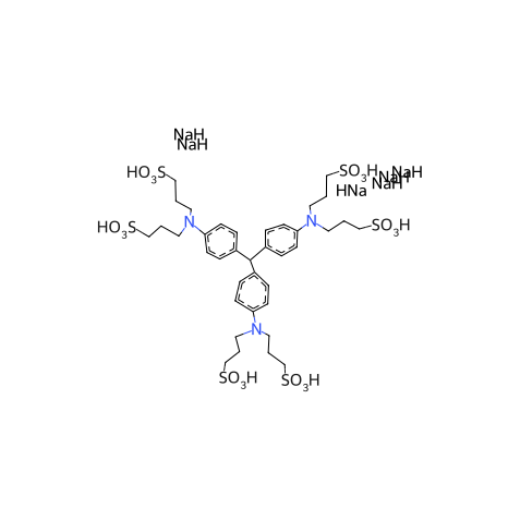 O=S(=O)(O)CCCN(CCCS(=O)(=O)O)c1ccc(C(c2ccc(N(CCCS(=O)(=O)O)CCCS(=O)(=O)O)cc2)c2ccc(N(CCCS(=O)(=O)O)CCCS(=O)(=O)O)cc2)cc1.[NaH].[NaH].[NaH].[NaH].[NaH].[NaH]